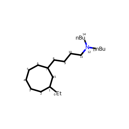 [CH2]CC1CCCCCC(CCCCN(CCCC)CCCC)C1